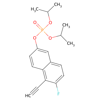 C#Cc1c(F)ccc2cc(OP(=O)(OC(C)C)OC(C)C)ccc12